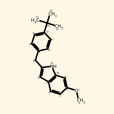 COc1ccc2cc(Cc3ccc(C(C)(C)C)cc3)[nH]c2c1